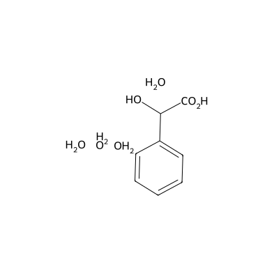 O.O.O.O.O=C(O)C(O)c1ccccc1